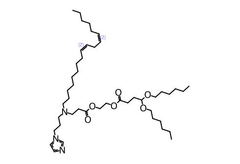 CCCCC/C=C\C/C=C\CCCCCCCCN(CCCn1ccnc1)CCC(=O)OCCOC(=O)CCC(OCCCCCC)OCCCCCC